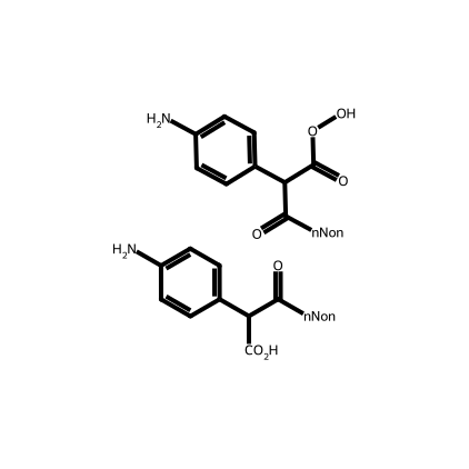 CCCCCCCCCC(=O)C(C(=O)O)c1ccc(N)cc1.CCCCCCCCCC(=O)C(C(=O)OO)c1ccc(N)cc1